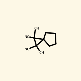 N#CC1(C#N)C(C#N)(C#N)C12CCCC2